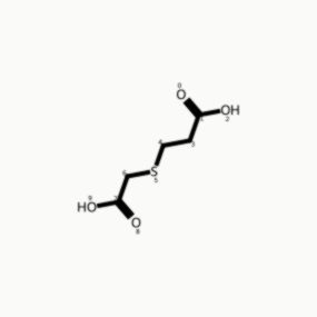 O=C(O)CCSCC(=O)O